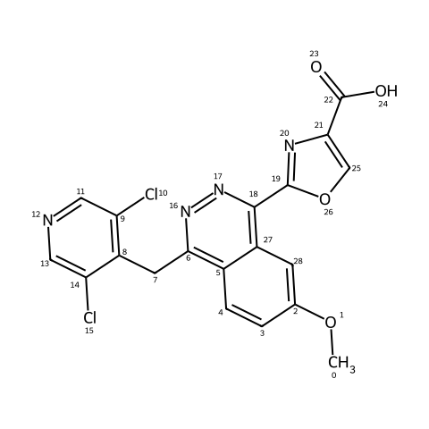 COc1ccc2c(Cc3c(Cl)cncc3Cl)nnc(-c3nc(C(=O)O)co3)c2c1